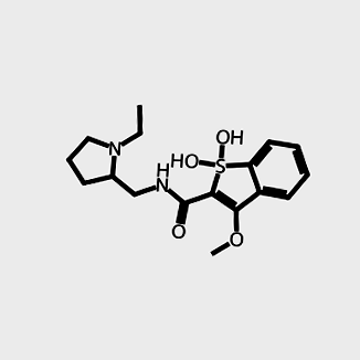 CCN1CCCC1CNC(=O)C1=C(OC)c2ccccc2S1(O)O